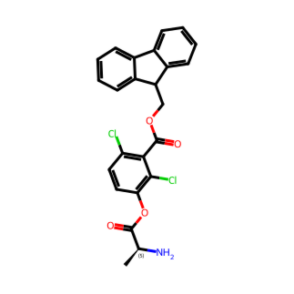 C[C@H](N)C(=O)Oc1ccc(Cl)c(C(=O)OCC2c3ccccc3-c3ccccc32)c1Cl